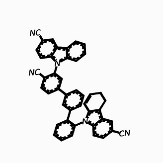 N#Cc1ccc2c(c1)c1c(n2-c2ccccc2-c2cccc(-c3ccc(C#N)c(-n4c5ccccc5c5cc(C#N)ccc54)c3)c2)C=CCC1